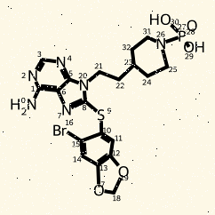 Nc1ncnc2c1nc(Sc1cc3c(cc1Br)OCO3)n2CCC1CCN(P(=O)(O)O)CC1